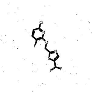 Fc1ccc(Cl)nc1OCc1ncc(C(F)F)s1